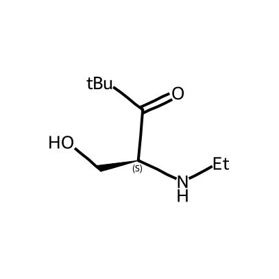 CCN[C@@H](CO)C(=O)C(C)(C)C